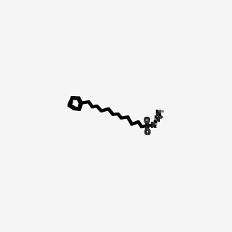 [N-]=[N+]=NS(=O)(=O)CCCCCCCCCCCCc1ccccc1